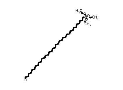 CCO[Si](CCCCCCCCCCCCCCCCCCCCCCCCCCCCCCCCCCCCl)(OCC)OCC